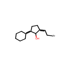 CC(C)CC=C1CCC(=C2CCCCC2)C1O